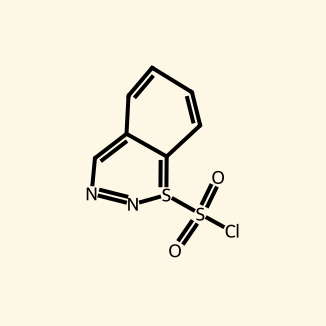 O=S(=O)(Cl)S1=c2ccccc2=CN=N1